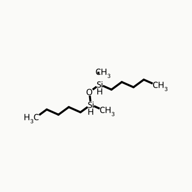 CCCCC[SiH](C)O[SiH](C)CCCCC